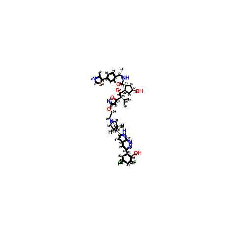 Cc1ncsc1-c1ccc([C@H](C)NC(=O)[C@@H]2C[C@@H](O)CC2C(=O)[C@@H](c2cc(OCCN3C[C@@H]4[C@H](C3)[C@H]4c3cc4cc(-c5cc(F)cc(F)c5O)nnc4[nH]3)no2)C(C)C)cc1